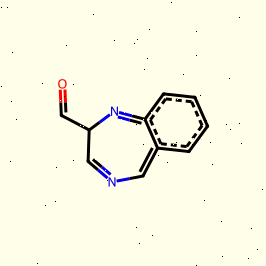 O=CC1C=NC=c2ccccc2=N1